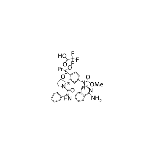 COC(=O)Nc1ccc(S(=O)(=O)C(C)C)c([C@H]2CCCN2C(=O)[C@H](Nc2ccc3c(N)nccc3c2)c2ccccc2)c1.O=C(O)C(F)(F)F